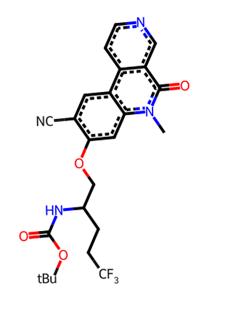 Cn1c(=O)c2cnccc2c2cc(C#N)c(OCC(CCC(F)(F)F)NC(=O)OC(C)(C)C)cc21